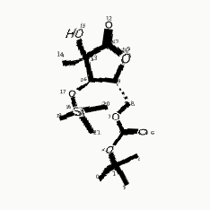 CC(C)(C)OC(=O)OC[C@H]1OC(=O)[C@@](C)(O)[C@@H]1O[Si](C)(C)C